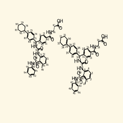 Cc1cccc(NC(=O)NC(c2ccc(C(=O)NCCC(=O)O)cc2)c2ccc(C3=CCCCC3)cc2)c1S(=O)(=O)Nc1ccccc1.Cc1cccc(NC(=O)NC(c2ccc(C(=O)NCCC(=O)O)cc2)c2ccc(C3CCCCC3)cc2)c1S(=O)(=O)Nc1ccccc1